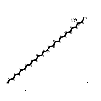 CCCCCCCCCCCCCCCCCCCCCCCCC[C@@H](O)CI